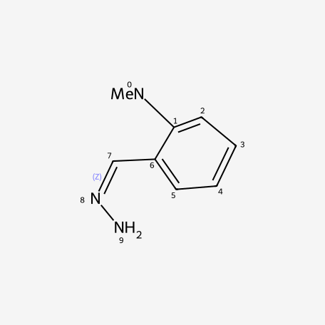 CNc1ccccc1/C=N\N